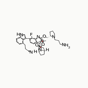 CC(C)(C)OC(=O)N1[C@@H]2CC[C@H]1CN(c1nc(OC[C@@H]3CCCN3CCCN)nc3c(F)c(-c4c[nH]c5cccc(CCC#N)c45)ccc13)C2